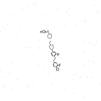 CCCCCCCC[C@H]1CC[C@H](CCC2CCC(c3ccc(CCc4ccc(Cl)c(F)c4)c(F)c3)CC2)CC1